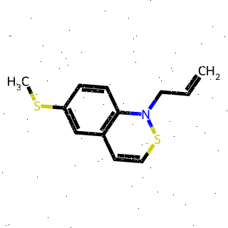 C=CCN1SC=Cc2cc(SC)ccc21